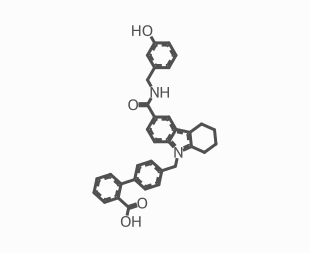 O=C(NCc1cccc(O)c1)c1ccc2c(c1)c1c(n2Cc2ccc(-c3ccccc3C(=O)O)cc2)CCCC1